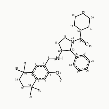 COc1cc2c(cc1CNC1CCN(C(=O)C3CCCCC3)C1c1ccccc1)C(C)(C)CCC2(C)C